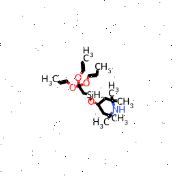 CC=COC(C[SiH2]OC1CC(C)(C)NC(C)(C)C1)(OC=CC)OC=CC